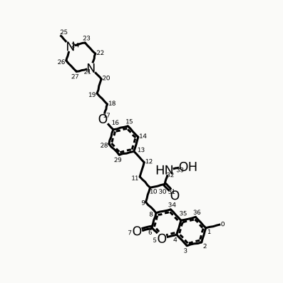 Cc1ccc2oc(=O)c(CC(CCc3ccc(OCCCN4CCN(C)CC4)cc3)C(=O)NO)cc2c1